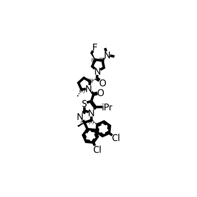 CC(C)C1=C(C(=O)N2[C@H](C)CC[C@@H]2C(=O)N2C[C@@H](CF)[C@@H](N(C)C)C2)SC2=N[C@@](C)(c3ccc(Cl)cc3)[C@@H](c3ccc(Cl)cc3)N21